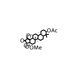 COC(=O)[C@@]12CC[C@]3(C)C(CCC4[C@@]5(C)CC[C@H](OC(C)=O)C(C)(C)C5CC[C@]43C)C1=C(C(C)C)C(=O)C2=O